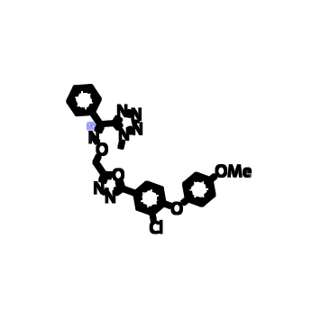 COc1ccc(Oc2ccc(-c3nnc(CO/N=C(/c4ccccc4)c4nnnn4C)o3)cc2Cl)cc1